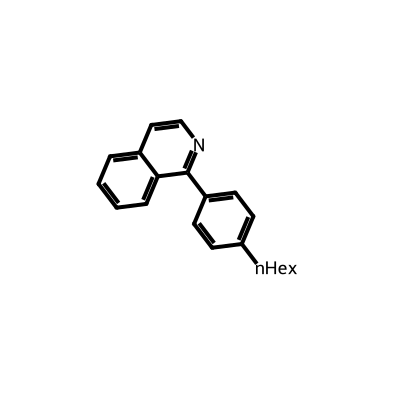 CCCCCCc1ccc(-c2nccc3ccccc23)cc1